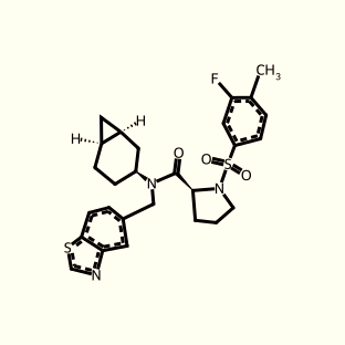 Cc1ccc(S(=O)(=O)N2CCC[C@H]2C(=O)N(Cc2ccc3scnc3c2)[C@H]2CC[C@H]3C[C@H]3C2)cc1F